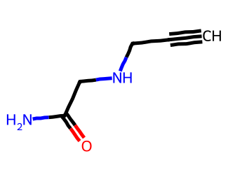 C#CCNCC(N)=O